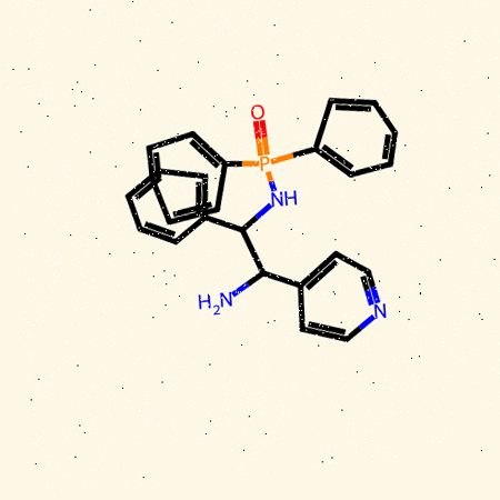 NC(c1ccncc1)C(NP(=O)(c1ccccc1)c1ccccc1)c1ccccc1